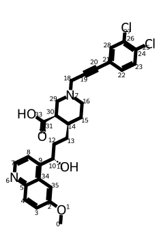 COc1ccc2nccc([C@@H](O)CC[C@@H]3CCN(CC#Cc4ccc(Cl)c(Cl)c4)C[C@@H]3C(=O)O)c2c1